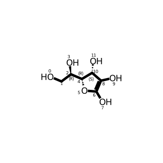 OC[C@@H](O)[C@H]1OC(O)=C(O)[C@H]1O